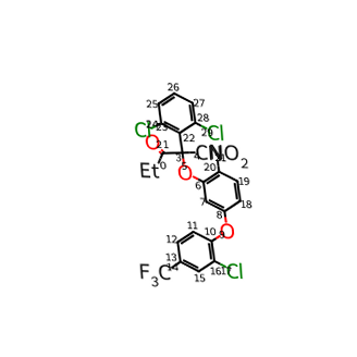 CCC(=O)C(C#N)(Oc1cc(Oc2ccc(C(F)(F)F)cc2Cl)ccc1[N+](=O)[O-])c1c(Cl)cccc1Cl